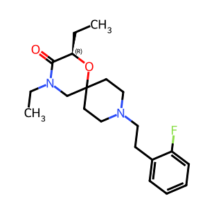 CC[C@H]1OC2(CCN(CCc3ccccc3F)CC2)CN(CC)C1=O